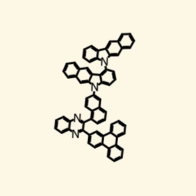 c1ccc2cc3c(cc2c1)c1ccccc1n3-c1cccc2c1c1cc3ccccc3cc1n2-c1ccc2c(-c3nc4ccccc4nc3-c3ccc4c5ccccc5c5ccccc5c4c3)cccc2c1